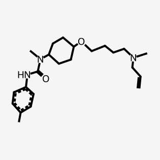 C=CCN(C)CCCCOC1CCC(N(C)C(=O)Nc2ccc(C)cc2)CC1